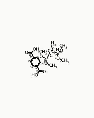 CO[SiH](OC)OC.CO[SiH](OC)OC.O=C(O)c1ccc(C(=O)O)cc1